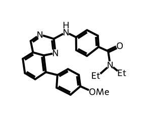 CCN(CC)C(=O)c1ccc(Nc2ncc3cccc(-c4ccc(OC)cc4)c3n2)cc1